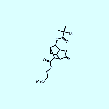 CCC(C)(C)C(=O)OC1C2CC3C1OC(=O)C3C2C(=O)OCCOC